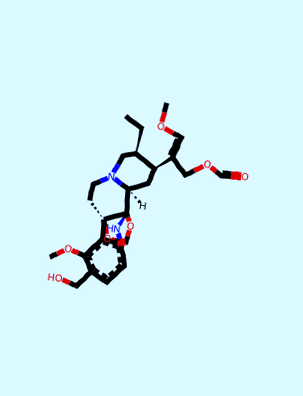 CC[C@@H]1CN2CC[C@@]34OCCO[C@@]3(Nc3ccc(CO)c(OC)c34)[C@@H]2C[C@@H]1/C(=C\OC)COC=O